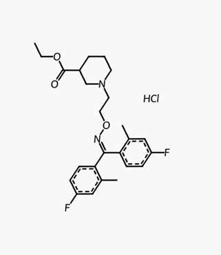 CCOC(=O)C1CCCN(CCON=C(c2ccc(F)cc2C)c2ccc(F)cc2C)C1.Cl